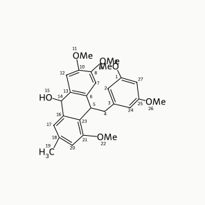 COc1cc(CC2c3cc(OC)c(OC)cc3C(O)c3cc(C)cc(OC)c32)cc(OC)c1